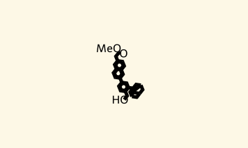 COC(=O)Cc1ccc2cc(-c3ccc(CO)c(C45CC6CC(CC(C6)C4)C5)c3)ccc2c1